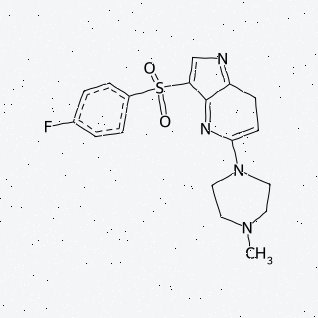 CN1CCN(C2=CCC3=NC=C(S(=O)(=O)c4ccc(F)cc4)C3=N2)CC1